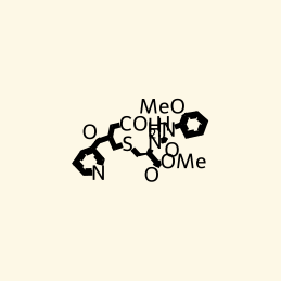 COC(=O)[C@@H](CSCC(CC(=O)O)C(=O)c1cccnc1)NC(=O)Nc1ccccc1OC